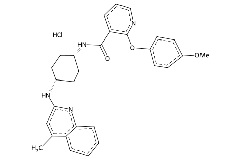 COc1ccc(Oc2ncccc2C(=O)N[C@H]2CC[C@@H](Nc3cc(C)c4ccccc4n3)CC2)cc1.Cl